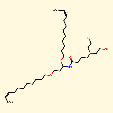 CCCCCCCC/C=C\CCCCCCCCOCCC(NC(=O)CCCN(CCO)CCO)OCCCCCCCC/C=C\CCCCCCCC